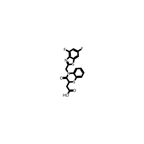 O=C(O)CC1Sc2ccccc2N(Cc2nc3c(F)cc(F)cc3s2)C1=O